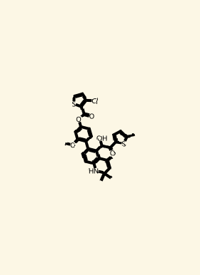 COc1cc(OC(=O)c2sccc2Cl)ccc1-c1ccc2c(c1C(O)C(=O)c1ccc(C)s1)C(C)=CC(C)(C)N2